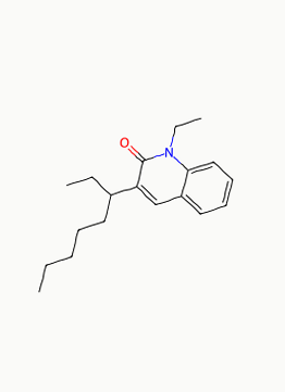 CCCCCC(CC)c1cc2ccccc2n(CC)c1=O